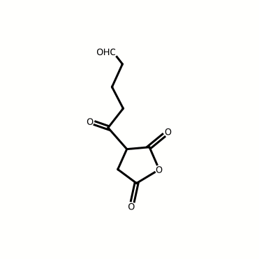 O=CCCCC(=O)C1CC(=O)OC1=O